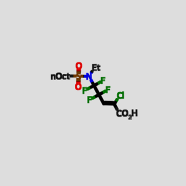 CCCCCCCCS(=O)(=O)N(CC)C(F)(F)C(F)(F)C=C(Cl)C(=O)O